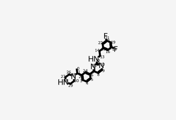 CC(c1cccc(-c2ccnc(NCCc3cc(F)cc(F)c3)n2)c1)N1CCNCC1